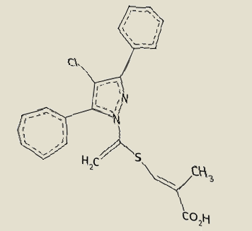 C=C(S/C=C(\C)C(=O)O)n1nc(-c2ccccc2)c(Cl)c1-c1ccccc1